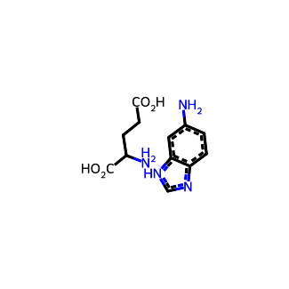 NC(CCC(=O)O)C(=O)O.Nc1ccc2nc[nH]c2c1